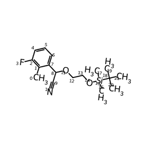 Cc1c(F)cccc1C(C#N)OCCO[Si](C)(C)C(C)(C)C